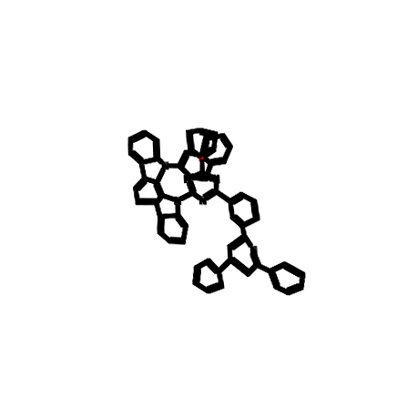 c1ccc(-c2cc(-c3ccccc3)nc(-c3cccc(-c4nc(-c5ccccc5)nc(-n5c6ccccc6c6ccc7c8ccccc8n(-c8ccc9ccccc9c8)c7c65)n4)c3)c2)cc1